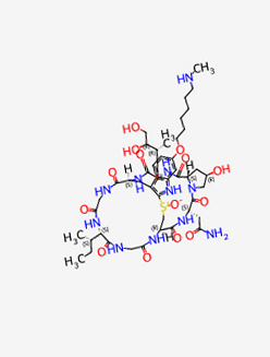 CC[C@H](C)[C@@H]1NC(=O)CNC(=O)[C@@H]2Cc3c([nH]c4cc(OCCCCCCNC)ccc34)[S+]([O-])C[C@H](NC(=O)CNC1=O)C(=O)N[C@@H](CC(N)=O)C(=O)N1C[C@H](O)C[C@H]1C(=O)N[C@@H]([C@@H](C)[C@@H](O)CO)C(=O)N2